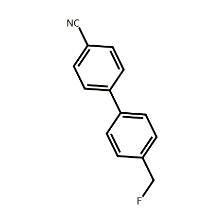 N#Cc1ccc(-c2ccc(CF)cc2)cc1